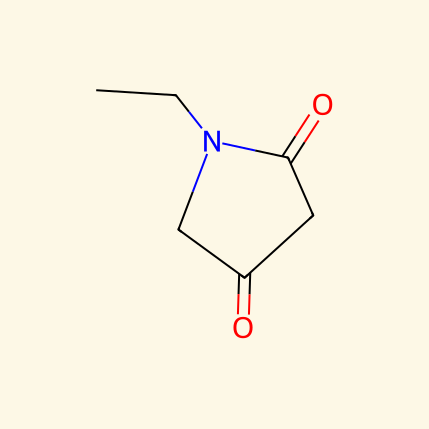 CCN1CC(=O)CC1=O